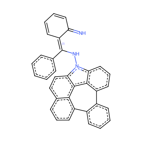 N=C1C=CC=C/C1=C(/Nn1c2cccc3c2c2c4c(cccc4ccc21)-c1ccccc1-3)c1ccccc1